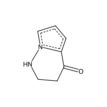 O=C1CCNn2cccc21